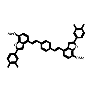 COc1ccc(/C=C/c2ccc(/C=C/c3ccc(OC)c4oc(-c5ccc(C)c(C)c5)cc34)cc2)c2cc(-c3ccc(C)c(C)c3)oc12